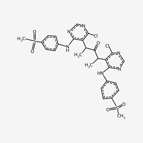 CC(C(=O)C(C)c1c(Cl)ncnc1Nc1ccc(S(C)(=O)=O)cc1)c1c(Cl)ncnc1Nc1ccc(S(C)(=O)=O)cc1